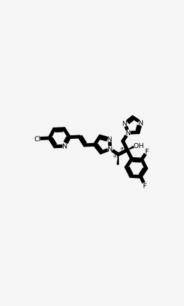 C[C@@H](n1cc(C=Cc2ccc(Cl)cn2)cn1)[C@](O)(Cn1cncn1)c1ccc(F)cc1F